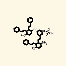 Nc1ccc(O)c(C=Cc2ccccc2)c1C=Cc1ccccc1.Nc1ccc(O)c(C=Cc2ccccc2)c1C=Cc1ccccc1.O=S(=O)(O)O